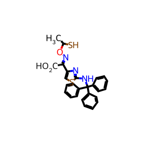 CC(S)ON=C(C(=O)O)c1csc(NC(c2ccccc2)(c2ccccc2)c2ccccc2)n1